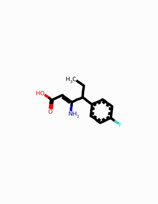 CCC(C(N)=CC(=O)O)c1ccc(F)cc1